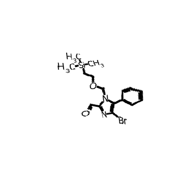 C[Si](C)(C)CCOCn1c(C=O)nc(Br)c1-c1ccccc1